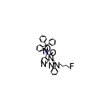 O=C1/C(=N\OC(c2ccccc2)(c2ccccc2)c2ccccc2)c2ccncc2N1Cc1nc2ccccc2n1CCCCF